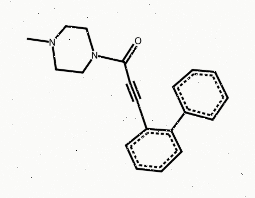 CN1CCN(C(=O)C#Cc2ccccc2-c2ccccc2)CC1